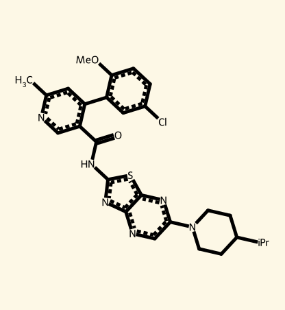 COc1ccc(Cl)cc1-c1cc(C)ncc1C(=O)Nc1nc2ncc(N3CCC(C(C)C)CC3)nc2s1